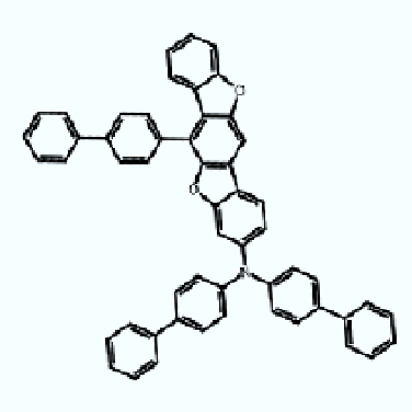 c1ccc(-c2ccc(-c3c4oc5cc(N(c6ccc(-c7ccccc7)cc6)c6ccc(-c7ccccc7)cc6)ccc5c4cc4oc5ccccc5c34)cc2)cc1